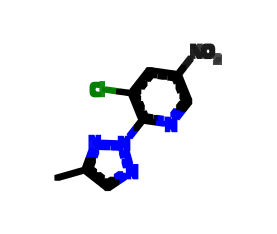 Cc1cnn(-c2ncc([N+](=O)[O-])cc2Cl)n1